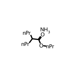 CCCOC(=O)C(CCC)CCC.N